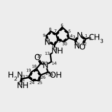 Cc1nc(-c2ccc3ccnc(NCCN4C(=O)c5cc(C(=N)N)ccc5C4O)c3c2)no1